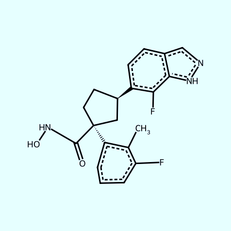 Cc1c(F)cccc1[C@]1(C(=O)NO)CC[C@@H](c2ccc3cn[nH]c3c2F)C1